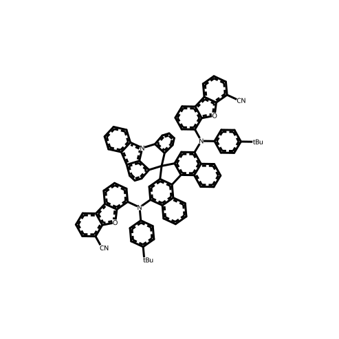 CC(C)(C)c1ccc(N(c2cc3c(c4ccccc24)-c2c(cc(N(c4ccc(C(C)(C)C)cc4)c4cccc5c4oc4c(C#N)cccc45)c4ccccc24)C32c3ccccc3-n3c4ccccc4c4cccc2c43)c2cccc3c2oc2c(C#N)cccc23)cc1